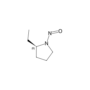 CC[C@@H]1CCCN1N=O